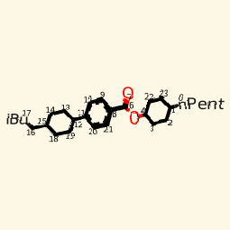 CCCCCC1CCC(OC(=O)c2ccc(C3CCC(CC(C)CC)CC3)cc2)CC1